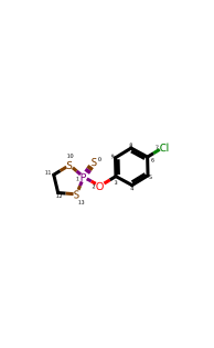 S=P1(Oc2ccc(Cl)cc2)SCCS1